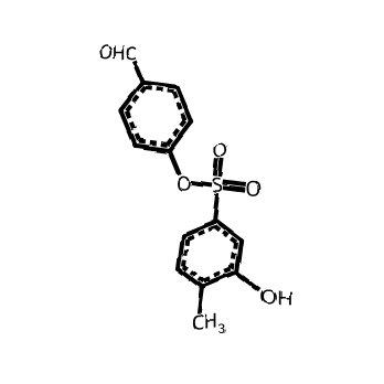 Cc1ccc(S(=O)(=O)Oc2ccc(C=O)cc2)cc1O